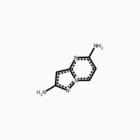 Nc1ccn2nc(N)cc2n1